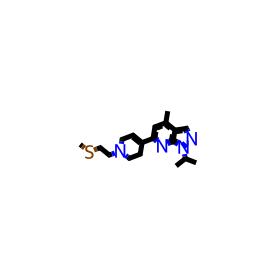 CSCCN1CC=C(c2cc(C)c3cnn(C(C)C)c3n2)CC1